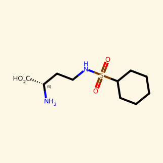 N[C@@H](CCNS(=O)(=O)C1CCCCC1)C(=O)O